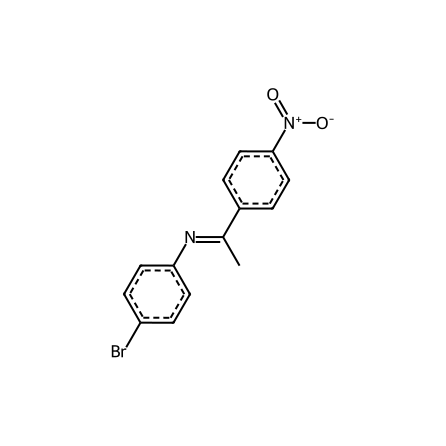 C/C(=N\c1ccc(Br)cc1)c1ccc([N+](=O)[O-])cc1